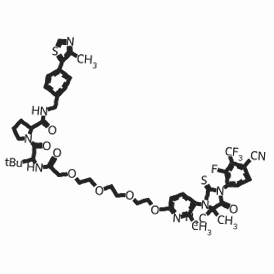 Cc1nc(OCCOCCOCCOCC(=O)NC(C(=O)N2CCCC2C(=O)NCc2ccc(-c3scnc3C)cc2)C(C)(C)C)ccc1N1C(=S)N(c2ccc(C#N)c(C(F)(F)F)c2F)C(=O)C1(C)C